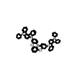 c1ccc(-n2c3ccccc3c3c4c5ccccc5n(-c5ccc6c(c5)Oc5cccc7c5B6c5ccc(-n6c8ccccc8c8c9c%10ccccc%10n(-c%10ccccc%10)c9ccc86)cc5O7)c4ccc32)cc1